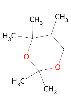 CC1COC(C)(C)OC1(C)C